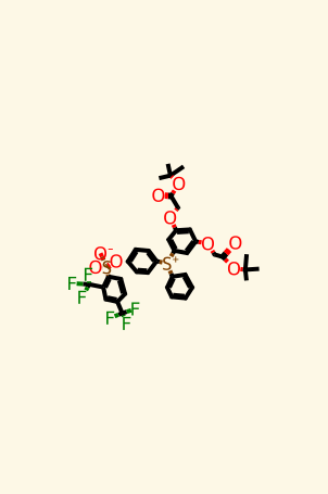 CC(C)(C)OC(=O)COc1cc(OCC(=O)OC(C)(C)C)cc([S+](c2ccccc2)c2ccccc2)c1.O=S(=O)([O-])c1ccc(C(F)(F)F)cc1C(F)(F)F